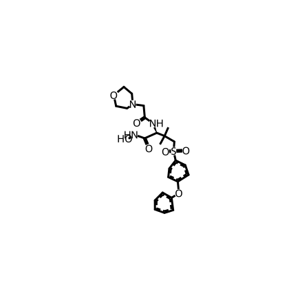 CC(C)(CS(=O)(=O)c1ccc(Oc2ccccc2)cc1)[C@H](NC(=O)CN1CCOCC1)C(=O)NO